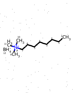 CCCCCCCC[N+](C)(C)C.[BH4-]